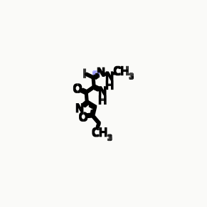 CCc1cc(C(=O)C(=N)/C(I)=N\NC)no1